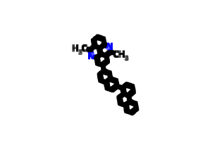 Cc1nc2cc(-c3ccc4ccc(-c5cccc6c5ccc5ccccc56)cc4c3)cc3c(C)nc4cccc1c4c23